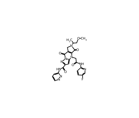 COCC(C)N1Cc2c(n(CC(=O)Nc3ccc(F)cn3)c3cc(C(=O)Nc4cccnn4)nn3c2=O)C1=O